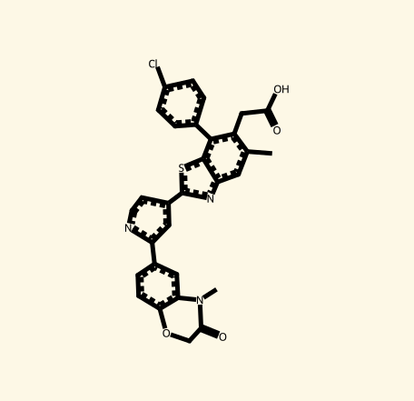 Cc1cc2nc(-c3ccnc(-c4ccc5c(c4)N(C)C(=O)CO5)c3)sc2c(-c2ccc(Cl)cc2)c1CC(=O)O